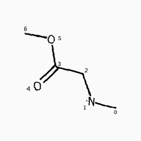 C[N]CC(=O)OC